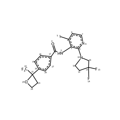 O=C(Nc1c(I)ccnc1N1CCC(F)(F)C1)c1ccc(C2(C(F)(F)F)CCO2)cc1